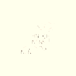 CC(Nc1nc(-c2ccncn2)cc(=O)n1C)C(=O)c1ccccc1